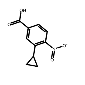 O=C(O)c1ccc([N+](=O)[O-])c(C2CC2)c1